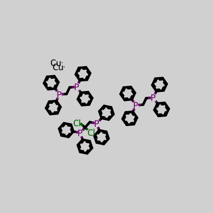 ClC(Cl)(CP(c1ccccc1)c1ccccc1)P(c1ccccc1)c1ccccc1.[Cu].[Cu].c1ccc(P(CCP(c2ccccc2)c2ccccc2)c2ccccc2)cc1.c1ccc(P(CCP(c2ccccc2)c2ccccc2)c2ccccc2)cc1